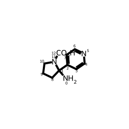 NC1(c2ccncc2)CCCN1C(=O)O